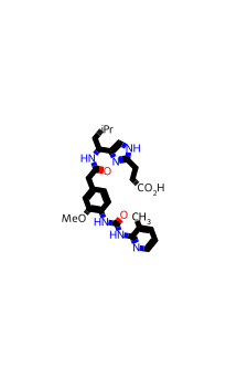 COc1cc(CC(=O)NC(CC(C)C)c2c[nH]c(CCC(=O)O)n2)ccc1NC(=O)Nc1ncccc1C